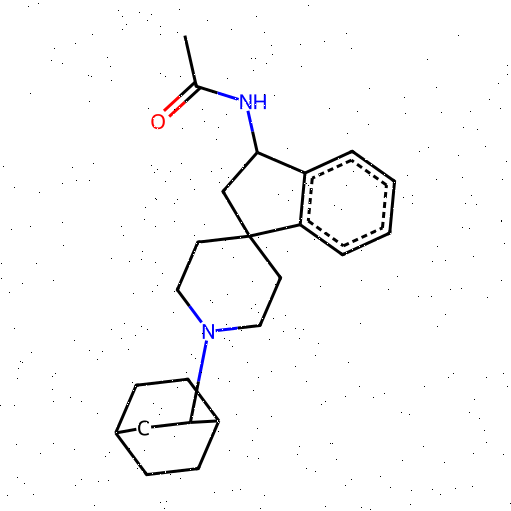 CC(=O)NC1CC2(CCN(C3CC4CCC3CC4)CC2)c2ccccc21